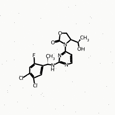 C[C@H](Nc1nccc(N2C(=O)OCC2[C@@H](C)O)n1)c1cc(Cl)c(Cl)cc1F